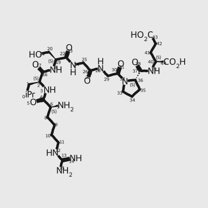 CC(C)C[C@H](NC(=O)[C@@H](N)CCCCNC(=N)N)C(=O)N[C@@H](CO)C(=O)NCC(=O)NCC(=O)N1CCC[C@H]1C(=O)N[C@@H](CCC(=O)O)C(=O)O